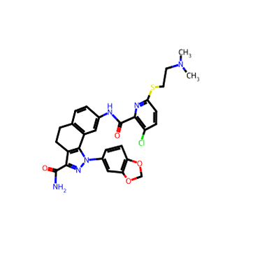 CN(C)CCSc1ccc(Cl)c(C(=O)Nc2ccc3c(c2)-c2c(c(C(N)=O)nn2-c2ccc4c(c2)OCO4)CC3)n1